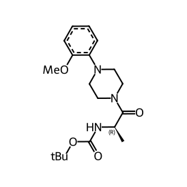 COc1ccccc1N1CCN(C(=O)[C@@H](C)NC(=O)OC(C)(C)C)CC1